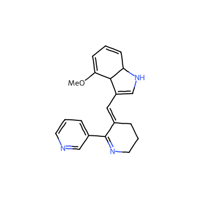 COC1=CC=CC2NC=C(/C=C3\CCCN=C3c3cccnc3)C12